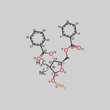 C[C@]1(C#N)[C@H](OP)O[C@H](COC(=O)c2ccccc2)[C@H]1OC(=O)c1ccccc1